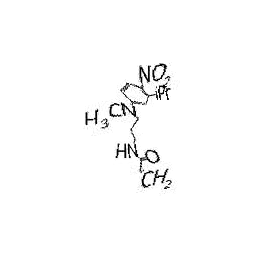 C=CC(=O)NCCCN(C)c1ccc([N+](=O)[O-])c(C(C)C)c1